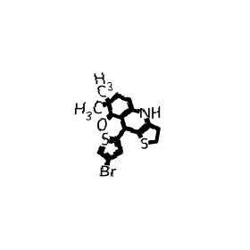 CC1(C)CCC2=C(C1=O)C(c1cc(Br)cs1)C1=C(CCS1)N2